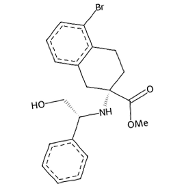 COC(=O)[C@]1(N[C@@H](CO)c2ccccc2)CCc2c(Br)cccc2C1